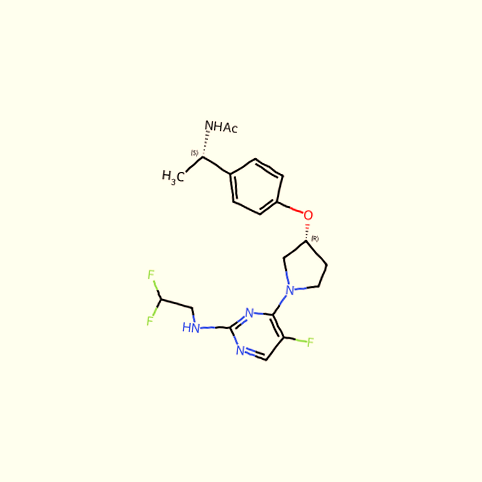 CC(=O)N[C@@H](C)c1ccc(O[C@@H]2CCN(c3nc(NCC(F)F)ncc3F)C2)cc1